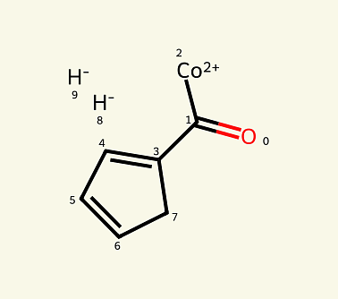 O=[C]([Co+2])C1=CC=CC1.[H-].[H-]